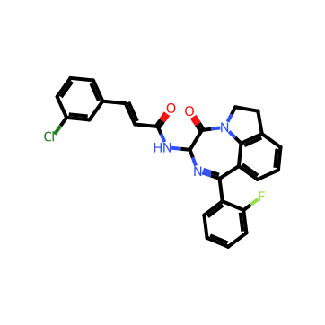 O=C(/C=C/c1cccc(Cl)c1)NC1N=C(c2ccccc2F)c2cccc3c2N(CC3)C1=O